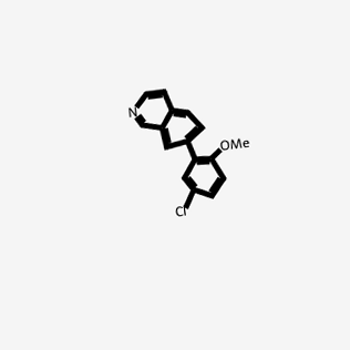 COc1ccc(Cl)cc1-c1ccc2ccncc2c1